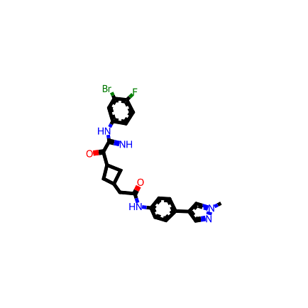 Cn1cc(-c2ccc(NC(=O)CC3CC(C(=O)C(=N)Nc4ccc(F)c(Br)c4)C3)cc2)cn1